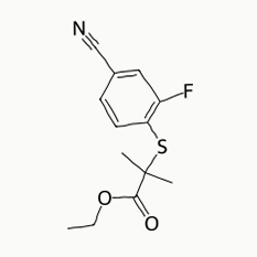 CCOC(=O)C(C)(C)Sc1ccc(C#N)cc1F